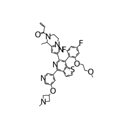 C=CC(=O)N1CCn2nc(-c3nc(-c4cncc(OC5CN(C)C5)c4)c4ccsc4c3-c3c(F)cc(F)cc3OCCOC)cc2C1C